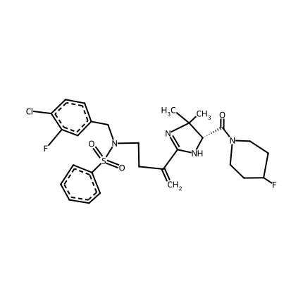 C=C(CCN(Cc1ccc(Cl)c(F)c1)S(=O)(=O)c1ccccc1)C1=NC(C)(C)[C@H](C(=O)N2CCC(F)CC2)N1